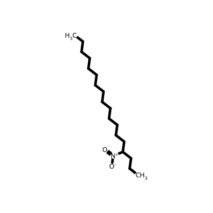 CCCCCCCCCCCCCCC(CCC)[N+](=O)[O-]